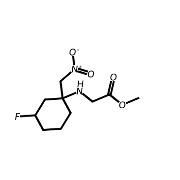 COC(=O)CNC1(C[N+](=O)[O-])CCCC(F)C1